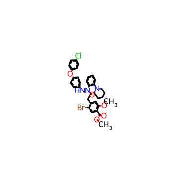 COC(=O)c1cc(Br)c(CC(=O)N(Nc2ccc(Oc3ccc(Cl)cc3)cc2)c2ccccc2N2CCCCC2)cc1OC